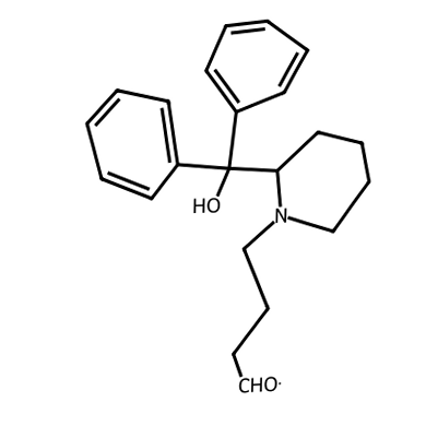 O=[C]CCCN1CCCCC1C(O)(c1ccccc1)c1ccccc1